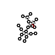 c1ccc(-c2ccc(N3c4ccc(-c5ccccc5)cc4B4c5cc(-c6ccccc6)ccc5N(c5ccc(-c6ccccc6)cc5)c5cc(-c6ccc7c(c6)c6ccccc6n7-c6ccc(-c7nc(-c8ccccc8)cc(-c8ccccc8)n7)cc6-c6nc(-c7ccccc7)nc(-c7ccccc7)n6)cc3c54)cc2)cc1